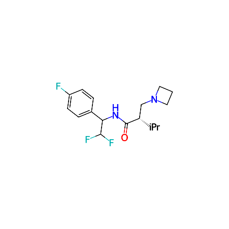 CC(C)[C@@H](CN1CCC1)C(=O)NC(c1ccc(F)cc1)C(F)F